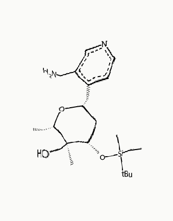 C[C@@H]1O[C@H](c2ccncc2N)C[C@H](O[Si](C)(C)C(C)(C)C)[C@@]1(C)O